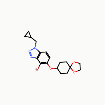 Brc1c(OC2CCC3(CC2)OCCO3)ccc2c1nnn2CC1CC1